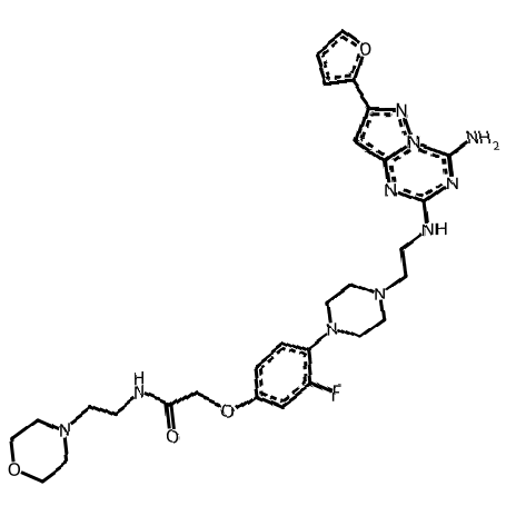 Nc1nc(NCCN2CCN(c3ccc(OCC(=O)NCCN4CCOCC4)cc3F)CC2)nc2cc(-c3ccco3)nn12